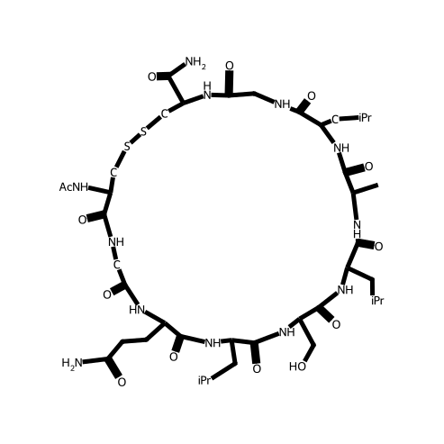 CC(=O)NC1CSSCC(C(N)=O)NC(=O)CNC(=O)C(CC(C)C)NC(=O)C(C)NC(=O)C(CC(C)C)NC(=O)C(CO)NC(=O)C(CC(C)C)NC(=O)C(CCC(N)=O)NC(=O)CNC1=O